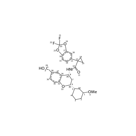 COC1CCCC([C@H]2C[C@@H](NC(=O)C3(c4ccc5c(c4)OC(F)(F)O5)CC3)c3cc(C(=O)O)ccc3O2)C1